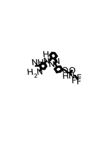 N=Cc1cc(Nc2nc(-c3cccc(OCC(=O)NCC(F)(F)F)c3)nc3ccccc23)ccc1N